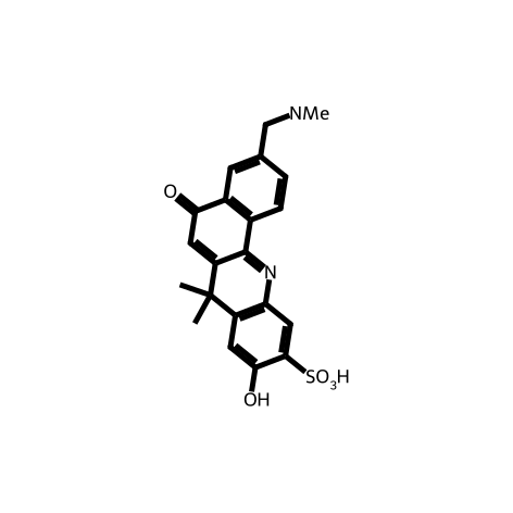 CNCc1ccc2c(c1)C(=O)C=C1C2=Nc2cc(S(=O)(=O)O)c(O)cc2C1(C)C